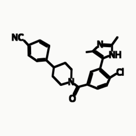 Cc1nc(C)c(-c2cc(C(=O)N3CCC(c4ccc(C#N)cc4)CC3)ccc2Cl)[nH]1